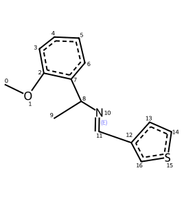 COc1ccccc1C(C)/N=C/c1ccsc1